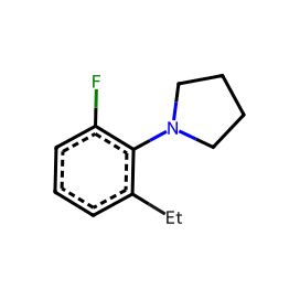 [CH2]Cc1cccc(F)c1N1CCCC1